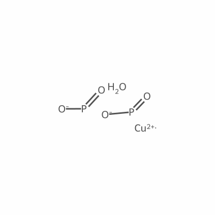 O.O=P[O-].O=P[O-].[Cu+2]